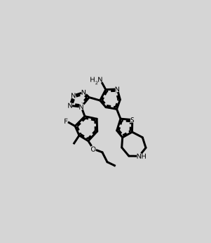 CCCOc1ccc(-n2nnnc2-c2cc(-c3cc4c(s3)CCNCC4)cnc2N)c(F)c1C